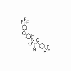 N#CC(C(=O)Nc1ccc(Oc2ccc(C(F)(F)F)cc2)cc1)C(=O)c1ccc(C(F)(F)F)cc1